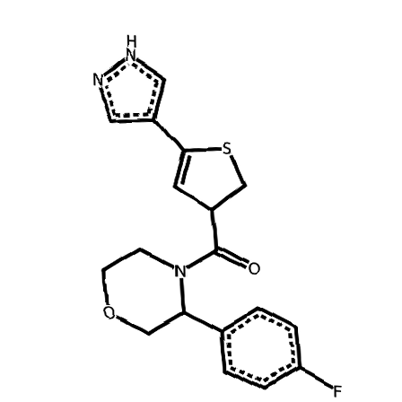 O=C(C1C=C(c2cn[nH]c2)SC1)N1CCOCC1c1ccc(F)cc1